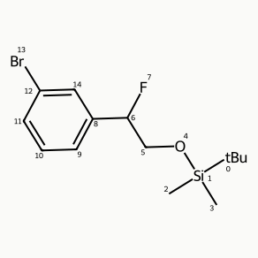 CC(C)(C)[Si](C)(C)OCC(F)c1cccc(Br)c1